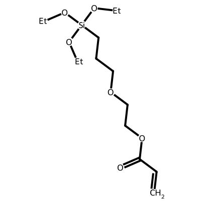 C=CC(=O)OCCOCCC[Si](OCC)(OCC)OCC